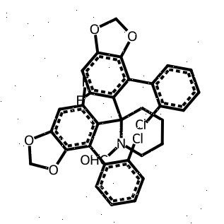 O=CN1CCCCC1(c1c(F)cc2c(c1-c1ccccc1Cl)OCO2)c1c(F)cc2c(c1-c1ccccc1Cl)OCO2